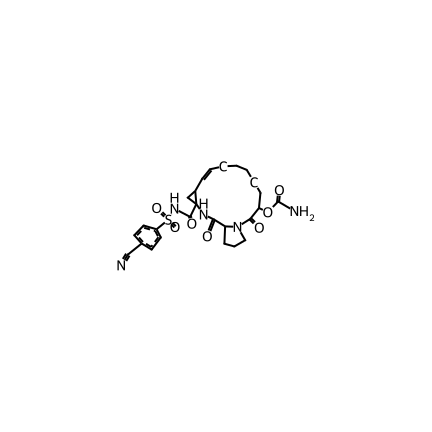 N#Cc1ccc(S(=O)(=O)NC(=O)C23CC2C=CCCCCCC(OC(N)=O)C(=O)N2CCCC2C(=O)N3)cc1